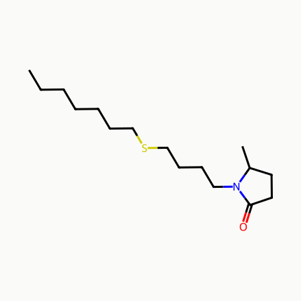 CCCCCCCSCCCCN1C(=O)CCC1C